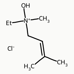 CC[N+](C)(O)CC=C(C)C.[Cl-]